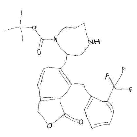 CC(C)(C)OC(=O)N1CCNCC1c1ccc2c(c1Cc1ccccc1C(F)(F)F)C(=O)OC2